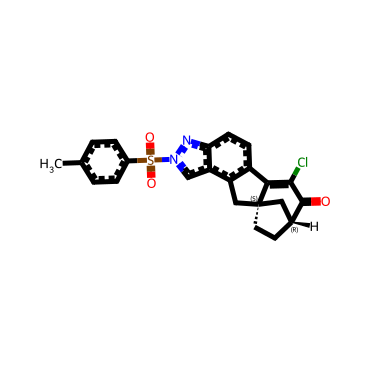 Cc1ccc(S(=O)(=O)n2cc3c4c(ccc3n2)C2=C(Cl)C(=O)[C@@H]3CC[C@@]2(C4)C3)cc1